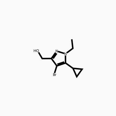 CCn1nc(CO)c(Br)c1C1CC1